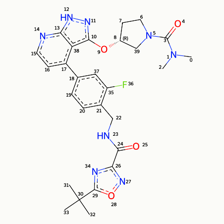 CN(C)C(=O)N1CC[C@@H](Oc2n[nH]c3nccc(-c4ccc(CNC(=O)c5noc(C(C)(C)C)n5)c(F)c4)c23)C1